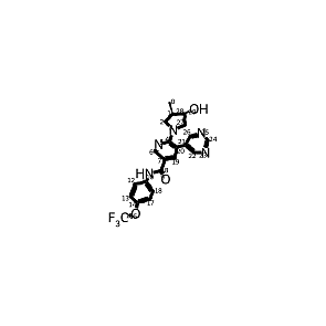 C[C@@H]1CN(c2ncc(C(=O)Nc3ccc(OC(F)(F)F)cc3)cc2-c2cncnc2)C[C@@H]1O